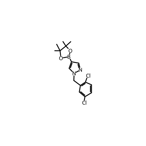 CC1(C)OB(c2cnn(Cc3cc(Cl)ccc3Cl)c2)OC1(C)C